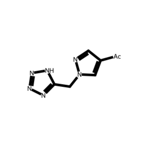 CC(=O)c1cnn(Cc2nnn[nH]2)c1